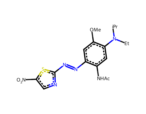 CCN(c1cc(NC(C)=O)c(N=Nc2ncc([N+](=O)[O-])s2)cc1OC)C(C)C